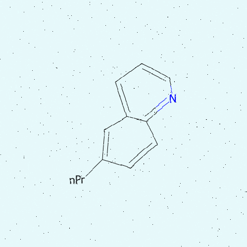 CCCc1ccc2ncccc2c1